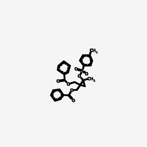 Cc1ccc(S(=O)(=O)OC2(C)CC2(COC(=O)c2ccccc2)COC(=O)c2ccccc2)cc1